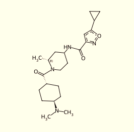 C[C@@H]1CC(NC(=O)c2cc(C3CC3)on2)CCN1C(=O)[C@H]1CC[C@H](N(C)C)CC1